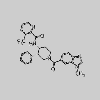 Cn1cnc2ccc(C(=O)N3CC[C@@H](NC(=O)c4ncccc4C(F)(F)F)[C@@H](c4ccccc4)C3)cc21